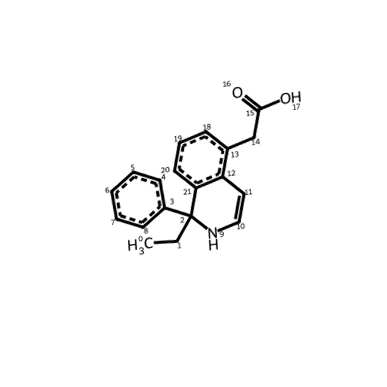 CCC1(c2ccccc2)NC=Cc2c(CC(=O)O)cccc21